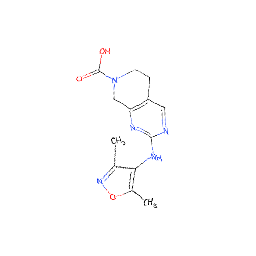 Cc1noc(C)c1Nc1ncc2c(n1)CN(C(=O)O)CC2